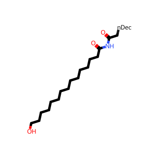 CCCCCCCCCCCC(=O)NC(=O)CCCCCCCCCCCCCCO